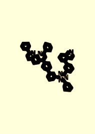 c1ccc(-c2ccc3ccc4c(-c5ccc(-c6cccc(-c7nc(-c8ccccc8)nc(-c8cccc(-c9cccc%10cnccc9%10)c8)n7)c6)cc5)cc(-c5ccccc5)nc4c3n2)cc1